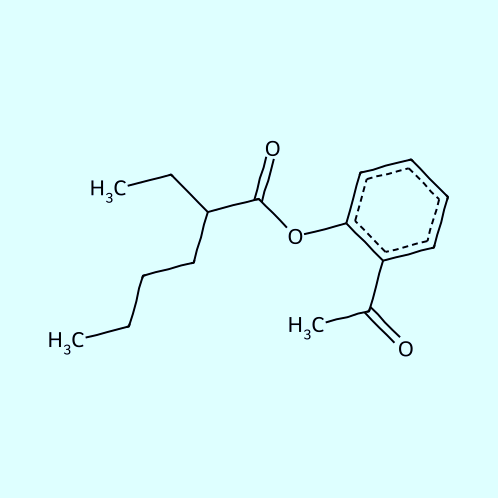 CCCCC(CC)C(=O)Oc1ccccc1C(C)=O